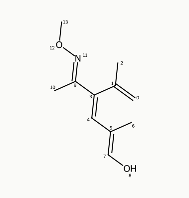 C=C(C)C(=C\C(C)=C\O)/C(C)=N/OC